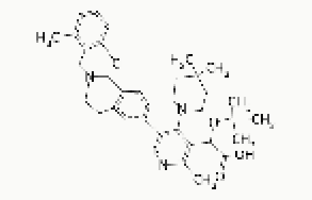 Cc1cccc(Cl)c1CN1CCc2cc(-c3cnc(C)c(C(OC(C)(C)C)C(=O)O)c3N3CCC(C)(C)CC3)ccc2C1